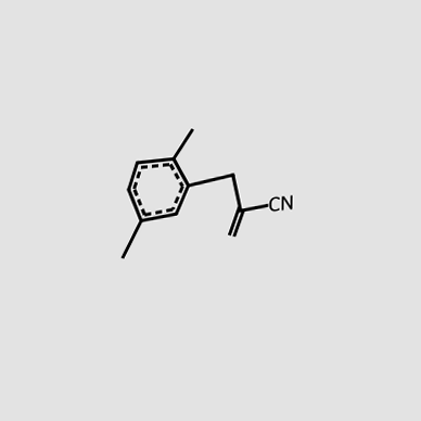 C=C(C#N)Cc1cc(C)ccc1C